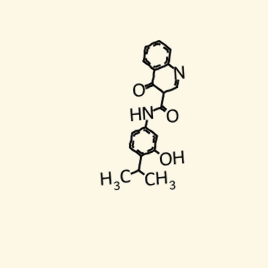 CC(C)c1ccc(NC(=O)C2C=Nc3ccccc3C2=O)cc1O